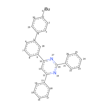 CCC(C)c1ccc(-c2cccc(-c3cc(-c4ccccc4)nc(-c4ccccc4)n3)c2)cc1